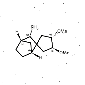 CO[C@H]1CC2(C[C@@H]1OC)[C@@H]1CC[C@@H](C1)[C@@H]2N